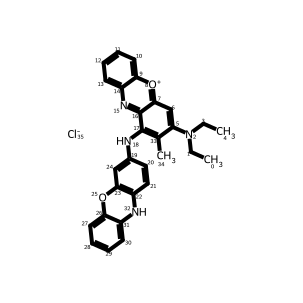 CCN(CC)c1cc2[o+]c3ccccc3nc2c(Nc2ccc3c(c2)Oc2ccccc2N3)c1C.[Cl-]